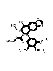 CCOC(=O)[C@@H]1[C@H](c2cc(OC)c(OC)c(OC)c2)c2cc3c(cc2[C@H](O)[C@H]1CO)OCO3